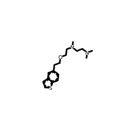 CN(C)CCN(C)CCOCCc1ccc2sccc2c1